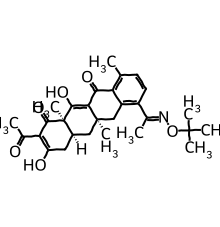 CC(=O)C1=C(O)C[C@@H]2C[C@]3(C)Cc4c(/C(C)=N/OC(C)(C)C)ccc(C)c4C(=O)C3=C(O)[C@]2(C)C1=O